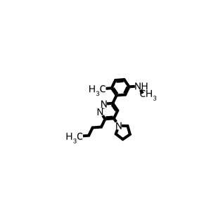 CCCCc1nnc(-c2cc(NC)ccc2C)cc1N1CCCC1